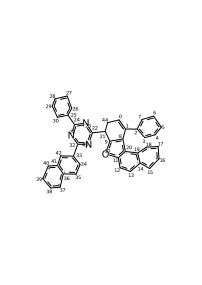 C1=C(c2ccccc2)c2c(oc3ccc4ccccc4c23)C(c2nc(-c3ccccc3)nc(-c3ccc4ccccc4c3)n2)C1